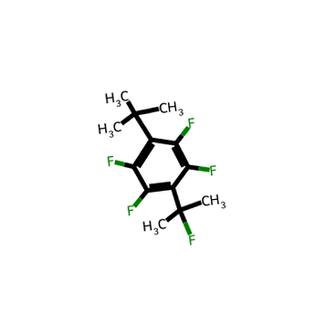 CC(C)(C)c1c(F)c(F)c(C(C)(C)F)c(F)c1F